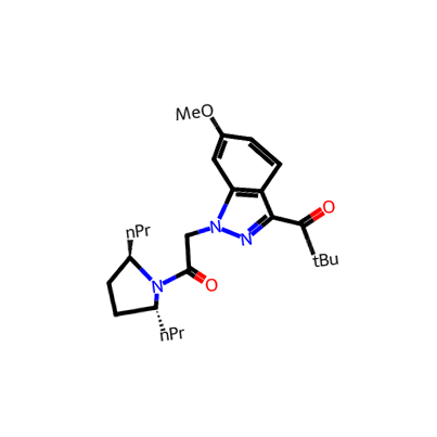 CCC[C@@H]1CC[C@@H](CCC)N1C(=O)Cn1nc(C(=O)C(C)(C)C)c2ccc(OC)cc21